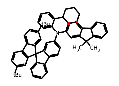 CC(C)(C)c1ccc2c(c1)C1(c3ccccc3-c3ccc(N(c4ccc5c(c4)C(C)(C)c4ccccc4-5)c4ccccc4C4CCCCC4)cc31)c1cc(C(C)(C)C)ccc1-2